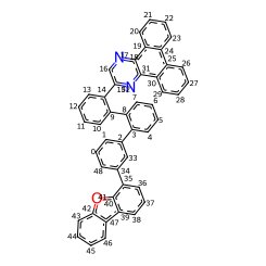 c1cc(-c2ccccc2-c2ccccc2-c2cnc3c4ccccc4c4ccccc4c3n2)cc(-c2cccc3c2oc2ccccc23)c1